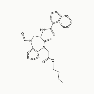 CCCCOC(=O)CN1C(=O)C(NC(=O)c2cccc3ccccc23)CN(C=O)c2ccccc21